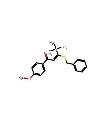 COc1ccc(C(=O)/C=C(/SCc2ccccc2)[Si](C)(C)C)cc1